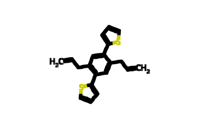 C=CCc1cc(-c2cccs2)c(CC=C)cc1-c1cccs1